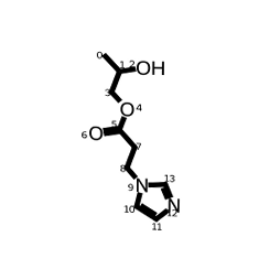 CC(O)COC(=O)CCn1ccnc1